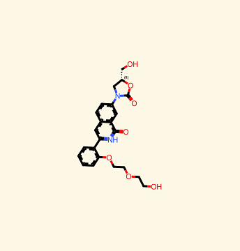 O=C1O[C@@H](CO)CN1c1ccc2cc(-c3ccccc3OCCOCCO)[nH]c(=O)c2c1